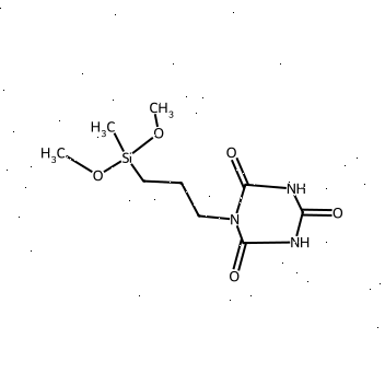 CO[Si](C)(CCCn1c(=O)[nH]c(=O)[nH]c1=O)OC